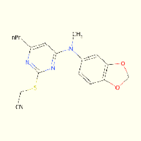 CCCc1cc(N(C)c2ccc3c(c2)OCO3)nc(SCC#N)n1